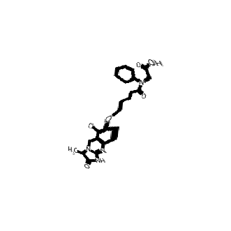 CC1C(=O)NC2=Nc3ccc(OCCCCC(=O)N(CC(=O)O)C4CCCCC4)c(Cl)c3CN21